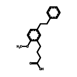 COc1ccc(CCc2ccccc2)cc1CCCC(=O)O